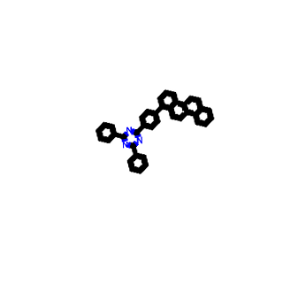 c1ccc(-c2nc(-c3ccccc3)nc(-c3ccc(-c4cccc5c4ccc4c6ccccc6ccc54)cc3)n2)cc1